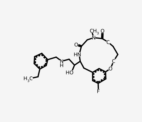 CCc1cccc(CNCC(O)C2Cc3cc(F)cc(c3)OCCCCC(=O)N(C)CC(=O)N2)c1